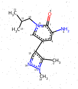 Cc1c(-c2cc(N)c(=O)n(CC(C)C)c2)cnn1C